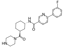 O=C(N[C@H]1CCC[C@H](C(=O)N2CCNCC2)C1)c1ccc(-c2cccc(F)c2)nc1